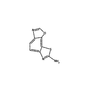 Nc1nc2ccc3ncoc3c2s1